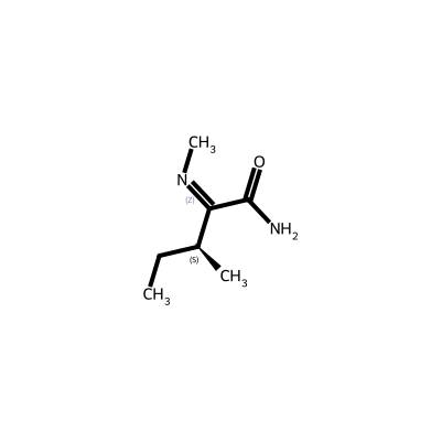 CC[C@H](C)/C(=N/C)C(N)=O